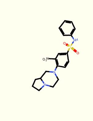 O=[N+]([O-])c1cc(S(=O)(=O)Nc2ccccc2)ccc1N1CCN2CCCC2C1